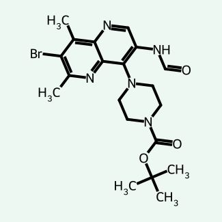 Cc1nc2c(N3CCN(C(=O)OC(C)(C)C)CC3)c(NC=O)cnc2c(C)c1Br